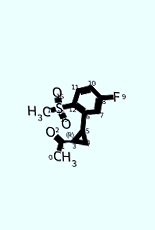 CC(=O)[C@@H]1CC1c1cc(F)ccc1S(C)(=O)=O